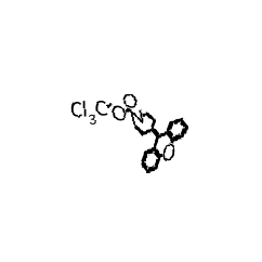 O=C(OCC(Cl)(Cl)Cl)N1CCC(=C2c3ccccc3Oc3ccccc32)CC1